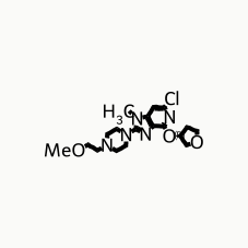 COCCN1CCN(c2nc3c(O[C@@H]4CCOC4)nc(Cl)cc3n2C)CC1